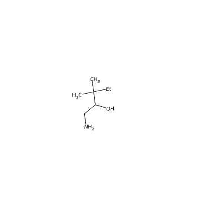 CCC(C)(C)C(O)CN